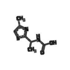 Cc1csc(C(C)NC(=O)O)n1